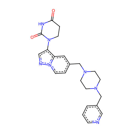 O=C1CCN(c2cnn3ccc(CN4CCN(Cc5cccnc5)CC4)cc23)C(=O)N1